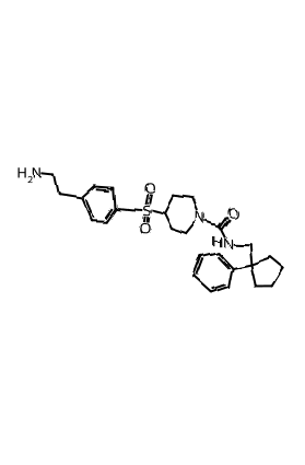 NCCc1ccc(S(=O)(=O)C2CCN(C(=O)NCC3(c4ccccc4)CCCC3)CC2)cc1